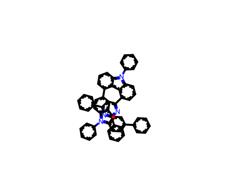 c1ccc(-c2ccc3c(c2)c2cc(-c4cccc5c4c4c(-c6cc(-c7ccccc7)nc(-c7ccccc7)n6)cccc4n5-c4ccccc4)ccc2n3-c2ccccc2)cc1